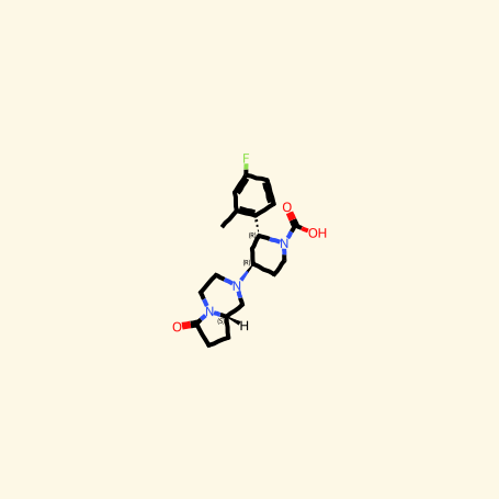 Cc1cc(F)ccc1[C@H]1C[C@H](N2CCN3C(=O)CC[C@H]3C2)CCN1C(=O)O